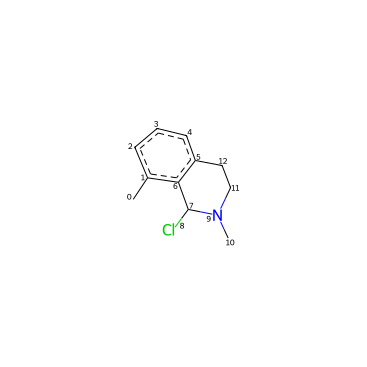 Cc1cccc2c1C(Cl)N(C)CC2